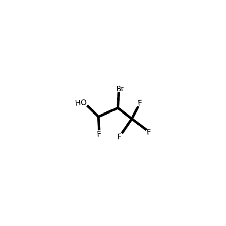 OC(F)C(Br)C(F)(F)F